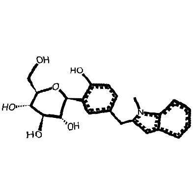 Cn1c(Cc2ccc(O)c([C@@H]3O[C@H](CO)[C@@H](O)[C@H](O)[C@H]3O)c2)cc2ccccc21